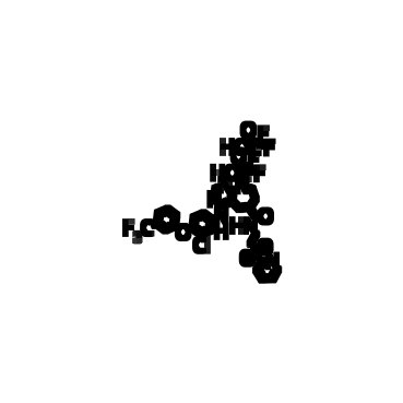 O=C(NCCS(=O)(=O)c1ccccn1)C1=Cc2c(ncnc2Nc2ccc(Oc3cccc(C(F)(F)F)c3)c(Cl)c2)NCC1.O=C(O)C(F)(F)F.O=C(O)C(F)(F)F